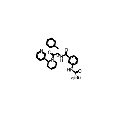 CC[C@H](C)C(=O)Nc1cccc(C(=O)N[C@@H](Cc2ccccc2)C(=O)N2CC=CCC2c2cccnc2)c1